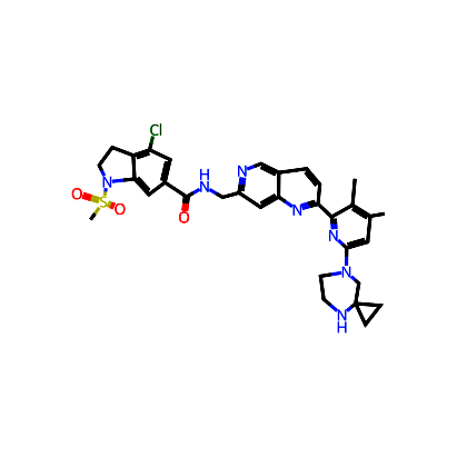 Cc1cc(N2CCNC3(CC3)C2)nc(-c2ccc3cnc(CNC(=O)c4cc(Cl)c5c(c4)N(S(C)(=O)=O)CC5)cc3n2)c1C